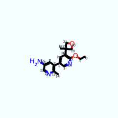 CCOc1ncc(-c2cc(N)cnc2C)cc1C1(C)COC1